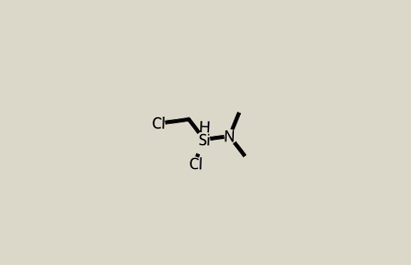 CN(C)[SiH](Cl)CCl